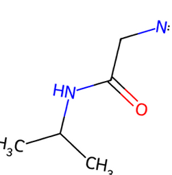 CC(C)NC(=O)C[N]